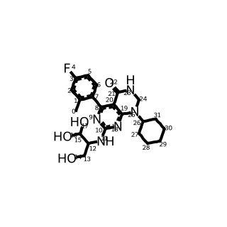 Cc1cc(F)ccc1-c1nc(NC(CO)C(O)O)nc2c1C(=O)NCN2C1CCCCC1